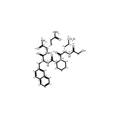 NC(=O)CC[C@H](NC(=O)[C@H](Cc1ccc2ccccc2c1)NC(=O)[C@@H]1CCCCN1C(=O)[C@H](CCC(=O)O)NC(=O)CCl)C(N)=O